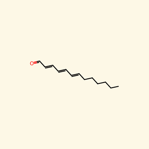 CCCCCCC=CC=CC=CC=O